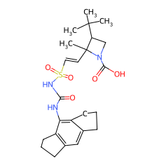 CC(C)(C)C1CN(C(=O)O)C1(C)C=CS(=O)(=O)NC(=O)Nc1c2c(cc3c1CCC3)CCC2